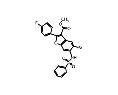 COC(=O)c1c(-c2ccc(F)cc2)oc2cc(NS(=O)(=O)c3ccccc3)c(Br)cc12